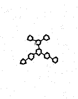 c1ccc(-c2ccc(-c3cc(-c4ccc(-c5ccccc5)cc4)cc(-c4cc(-c5ccccc5)cc(-c5ccccc5)n4)c3)cc2)cc1